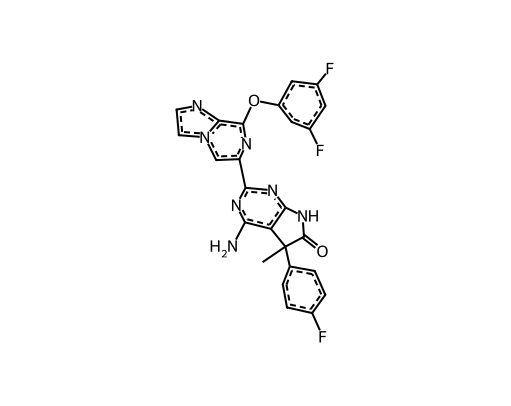 CC1(c2ccc(F)cc2)C(=O)Nc2nc(-c3cn4ccnc4c(Oc4cc(F)cc(F)c4)n3)nc(N)c21